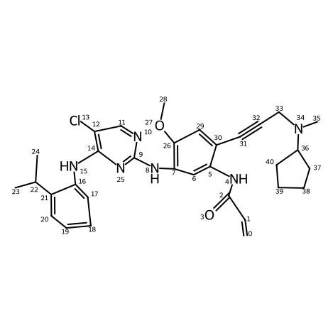 C=CC(=O)Nc1cc(Nc2ncc(Cl)c(Nc3ccccc3C(C)C)n2)c(OC)cc1C#CCN(C)C1CCCC1